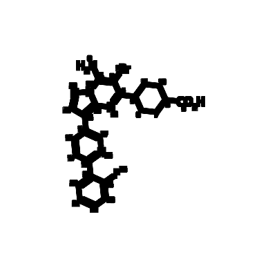 Nc1c(Br)c(C2CCC(C(=O)O)CC2)nc2c(-c3ccc(-c4ccccc4F)nc3)cnn12